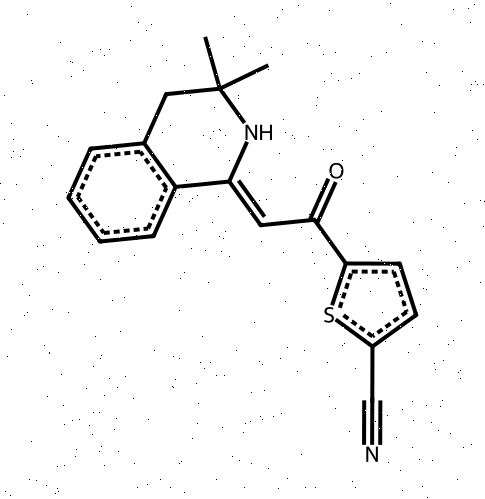 CC1(C)Cc2ccccc2/C(=C/C(=O)c2ccc(C#N)s2)N1